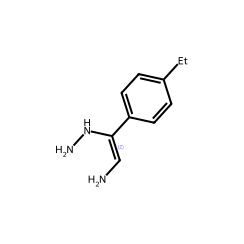 CCc1ccc(/C(=C/N)NN)cc1